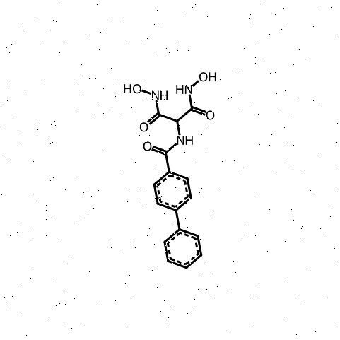 O=C(NC(C(=O)NO)C(=O)NO)c1ccc(-c2ccccc2)cc1